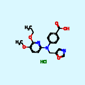 CCOc1nc(N(Cc2cnco2)c2ccc(C(=O)O)cc2)ccc1OC.Cl